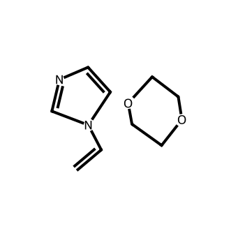 C1COCCO1.C=Cn1ccnc1